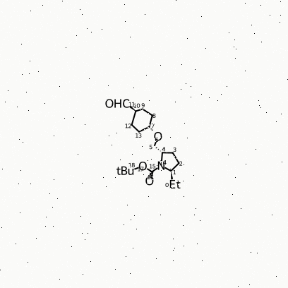 CC[C@@H]1CC[C@@H](CO[C@H]2CC[C@H](C=O)CC2)N1C(=O)OC(C)(C)C